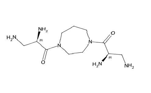 NC[C@@H](N)C(=O)N1CCCN(C(=O)[C@H](N)CN)CC1